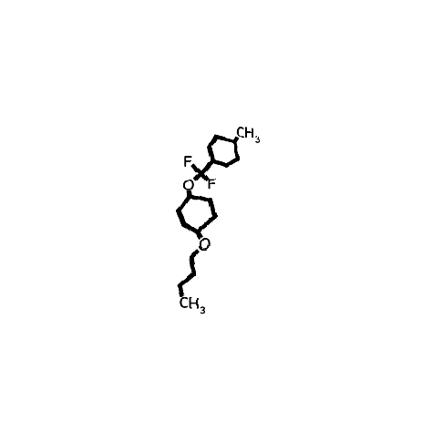 CCCCOC1CCC(OC(F)(F)C2CCC(C)CC2)CC1